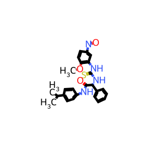 COc1ccc(N=O)cc1NC(=S)NC(C(=O)Nc1ccc(C(C)C)cc1)c1ccccc1